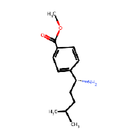 COC(=O)c1ccc([C@H](N)CCC(C)C)cc1